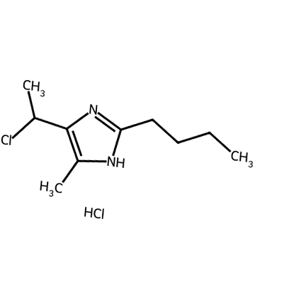 CCCCc1nc(C(C)Cl)c(C)[nH]1.Cl